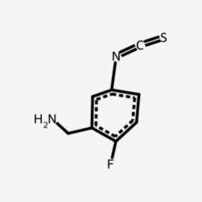 NCc1cc(N=C=S)ccc1F